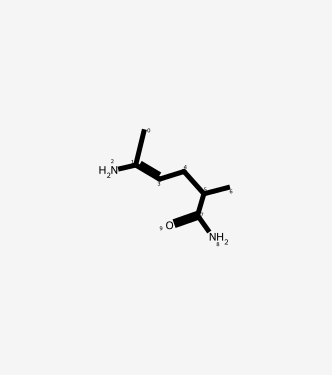 C/C(N)=C\CC(C)C(N)=O